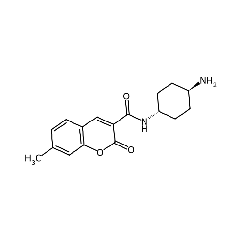 Cc1ccc2cc(C(=O)N[C@H]3CC[C@H](N)CC3)c(=O)oc2c1